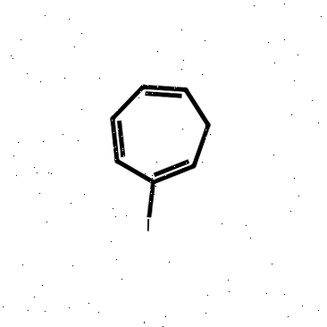 IC1=CCC=CC=C1